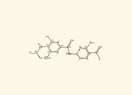 CC(=O)c1ccc(NC(=O)c2cc(C)c(OC(C)C)c(Cl)c2)cc1F